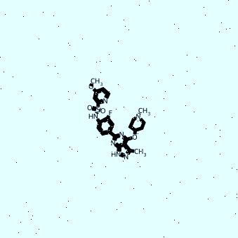 COc1ccnc(S(=O)(=O)Nc2ccc(-c3nc(OC4CCN(C)CC4)c4c(C)n[nH]c4n3)cc2F)c1